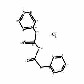 Cl.O=C(Cc1ccccc1)OC(=O)Cc1ccncc1